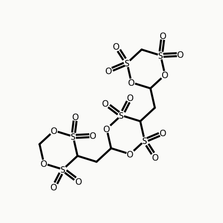 O=S1(=O)CS(=O)(=O)OC(CC2S(=O)(=O)OC(CC3S(=O)(=O)OCOS3(=O)=O)OS2(=O)=O)O1